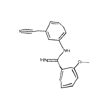 COc1ccccc1C(=N)Nc1cccc(C#N)c1